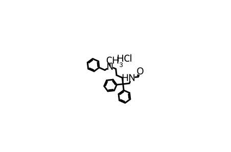 CN(CCCC(CNC=O)(c1ccccc1)c1ccccc1)Cc1ccccc1.Cl